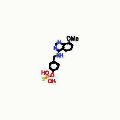 COc1cccc2c(NCc3ccc(OP(O)(O)=S)cc3)ncnc12